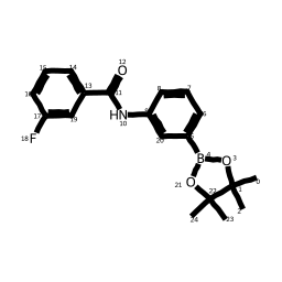 CC1(C)OB(c2cccc(NC(=O)c3cccc(F)c3)c2)OC1(C)C